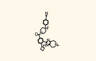 CN1CCc2nc(-c3cc(C(=O)N4CCC(F)(c5ccc(C#N)cc5)CC4)ccc3C3CCC3)[nH]c2CC1